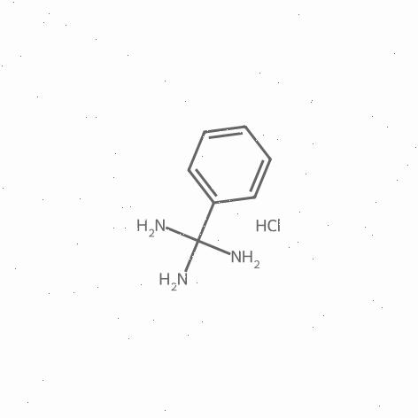 Cl.NC(N)(N)c1ccccc1